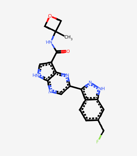 CC1(NC(=O)c2c[nH]c3ncc(-c4n[nH]c5cc(CF)ccc45)nc23)COC1